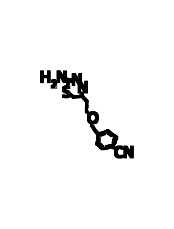 N#Cc1ccc(COCCC2=NN=C(N)SC2)cc1